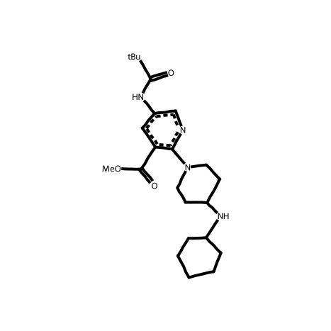 COC(=O)c1cc(NC(=O)C(C)(C)C)cnc1N1CCC(NC2CCCCC2)CC1